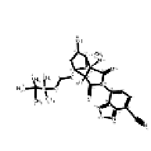 CC(C)(C)[Si](C)(C)OCC[C@]12CC(O)[C@](C)(O1)[C@@H]1C(=O)N(c3ccc(C#N)c4nsnc34)C(=O)[C@@H]12